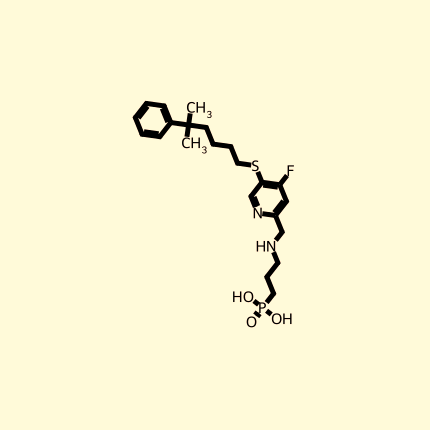 CC(C)(CCCCSc1cnc(CNCCCP(=O)(O)O)cc1F)c1ccccc1